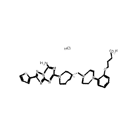 Cl.Nc1nc(N2CCC[C@@H](CN3CCN(c4ccccc4OCCCC(=O)O)CC3)C2)nc2nc(-c3ccco3)nn12